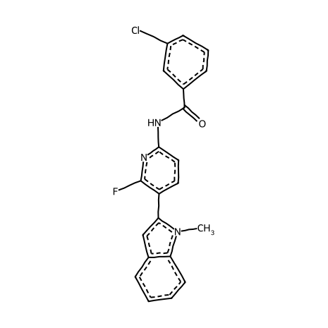 Cn1c(-c2ccc(NC(=O)c3cccc(Cl)c3)nc2F)cc2ccccc21